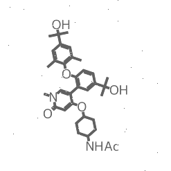 CC(=O)NC1CCC(Oc2cc(=O)n(C)cc2-c2cc(C(C)(C)O)ccc2Oc2c(C)cc(C(C)(C)O)cc2C)CC1